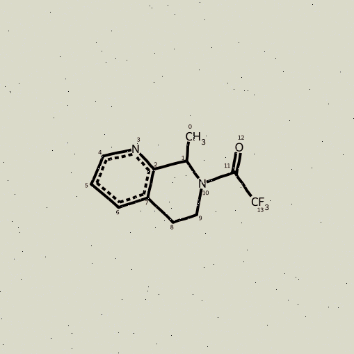 CC1c2ncccc2CCN1C(=O)C(F)(F)F